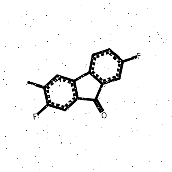 Cc1cc2c(cc1F)C(=O)c1cc(F)ccc1-2